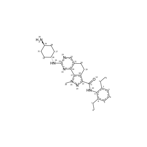 CCc1cccc(CC)c1NC(=O)c1nn(C)c2c1CCc1cnc(N[C@H]3CC[C@H](N)CC3)nc1-2